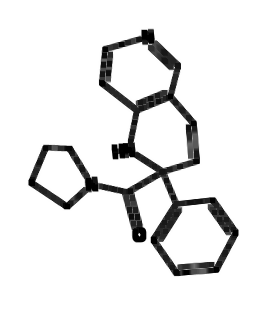 O=C(N1CCCC1)C1(c2ccccc2)C=Cc2cnccc2N1